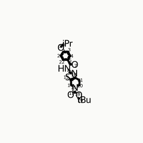 CC(C)Oc1ccc(C(=O)Nc2nc3c(s2)CN(C(=O)OC(C)(C)C)CC3)cc1